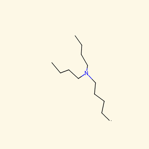 [CH2]CCCCN(CCCC)CCCC